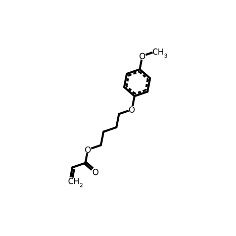 C=CC(=O)OCCCCOc1ccc(OC)cc1